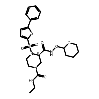 CCNC(=O)N1CCN(S(=O)(=O)c2ccc(-c3ccccc3)s2)[C@@H](C(=O)NOC2CCCCO2)C1